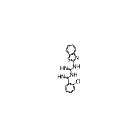 N=C(NC(=N)c1ccccc1Cl)Nc1nc2ccccc2s1